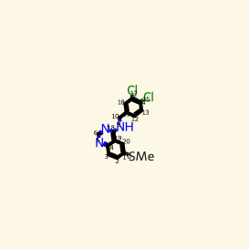 CSc1ccc2ncnc(NCc3ccc(Cl)c(Cl)c3)c2c1